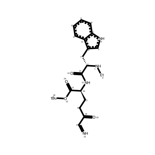 CCN[C@@H](Cc1c[nH]c2ccccc12)C(=O)N[C@@H](CCC(=O)C=N)C(=O)OC(C)(C)C